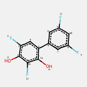 Oc1c(F)cc(-c2cc(F)cc(F)c2)c(O)c1F